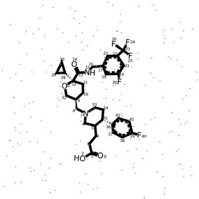 O=C(O)CCC1CN(C[C@@H]2CC[C@@](C(=O)NCc3cc(F)cc(C(F)(F)F)c3)(C3CC3)OC2)CC[C@@H]1c1ccc(F)cc1